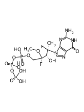 CO[C@](F)(COP(=O)(O)OP(=O)(O)OP(=O)(O)O)[C@@H](O)[C@@](C)(F)n1cnc2c(=O)[nH]c(N)nc21